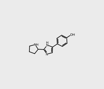 Oc1ccc(-c2cnc(C3CCCN3)[nH]2)cc1